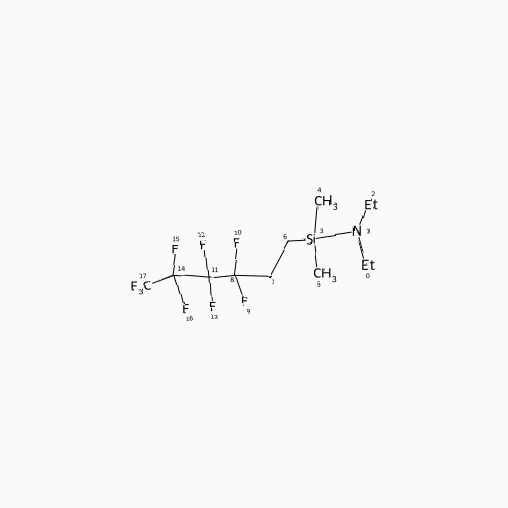 CCN(CC)[Si](C)(C)CCC(F)(F)C(F)(F)C(F)(F)C(F)(F)F